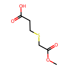 COC(=O)CSCCC(=O)O